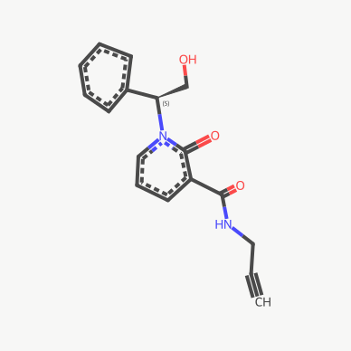 C#CCNC(=O)c1cccn([C@H](CO)c2ccccc2)c1=O